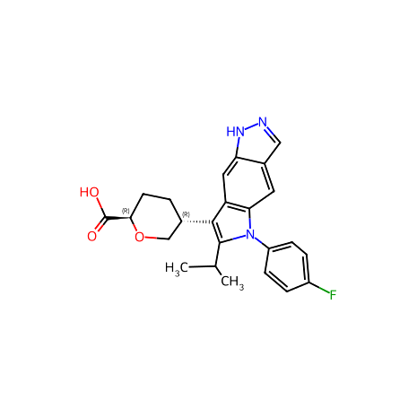 CC(C)c1c([C@H]2CC[C@H](C(=O)O)OC2)c2cc3[nH]ncc3cc2n1-c1ccc(F)cc1